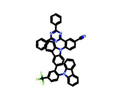 N#Cc1ccc(-n2c3ccccc3c3cc(-c4cc(C(F)(F)F)ccc4-n4c5ccccc5c5ccccc54)ccc32)c(-c2nc(-c3ccccc3)nc(-c3ccccc3)n2)c1